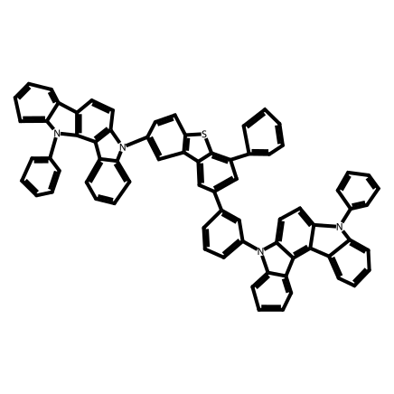 c1ccc(-c2cc(-c3cccc(-n4c5ccccc5c5c6c7ccccc7n(-c7ccccc7)c6ccc54)c3)cc3c2sc2ccc(-n4c5ccccc5c5c4ccc4c6ccccc6n(-c6ccccc6)c45)cc23)cc1